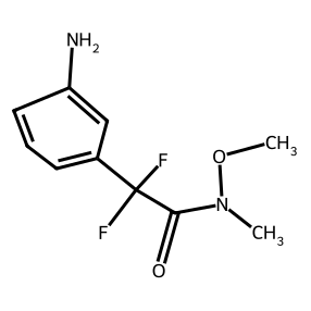 CON(C)C(=O)C(F)(F)c1cccc(N)c1